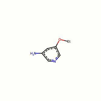 CCOc1cncc(N)c1